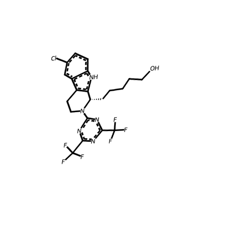 OCCCCC[C@H]1c2[nH]c3ccc(Cl)cc3c2CCN1c1nc(C(F)(F)F)nc(C(F)(F)F)n1